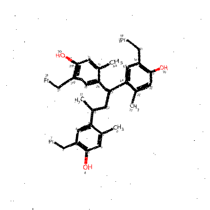 Cc1cc(O)c(CC(C)C)cc1C(C)CC(c1cc(CC(C)C)c(O)cc1C)c1cc(CC(C)C)c(O)cc1C